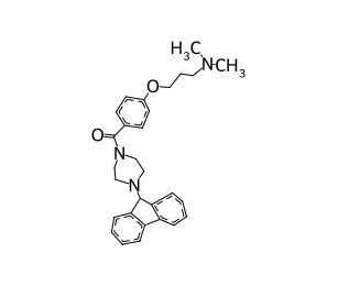 CN(C)CCCOc1ccc(C(=O)N2CCN(C3c4ccccc4-c4ccccc43)CC2)cc1